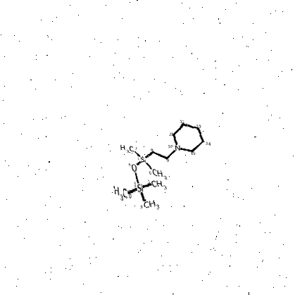 C[Si](C)(C)O[Si](C)(C)CCN1CCCCC1